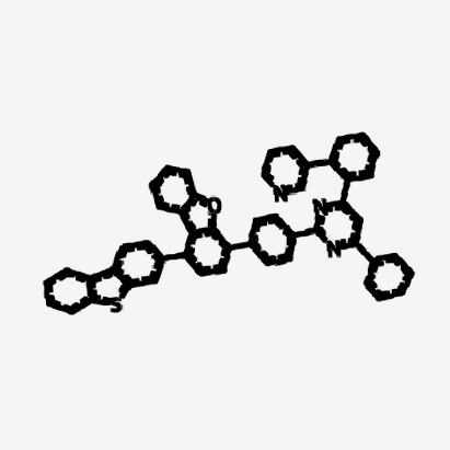 c1ccc(-c2cc(-c3ccccc3-c3cccnc3)nc(-c3ccc(-c4ccc(-c5ccc6c(c5)sc5ccccc56)c5c4oc4ccccc45)cc3)n2)cc1